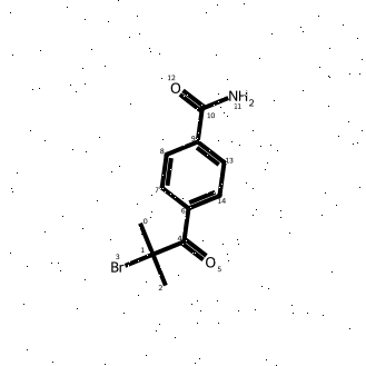 CC(C)(Br)C(=O)c1ccc(C(N)=O)cc1